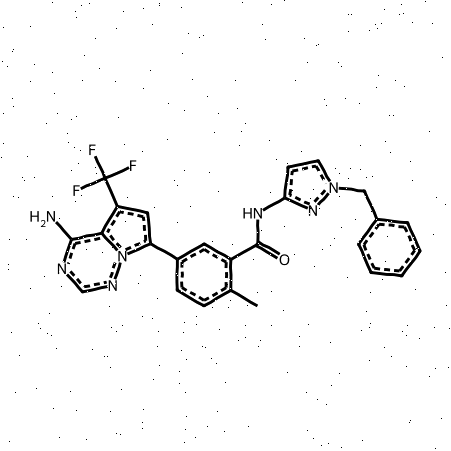 Cc1ccc(-c2cc(C(F)(F)F)c3c(N)ncnn23)cc1C(=O)Nc1ccn(Cc2ccccc2)n1